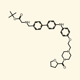 CC(C)(C)OC(=O)CNCc1ccc(-c2ccc(Nc3ccc(OCCN4CCN(C(=O)C5CCCO5)CC4)cc3)cc2)cc1